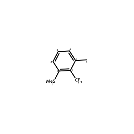 CSc1cccc(C)c1C(F)(F)F